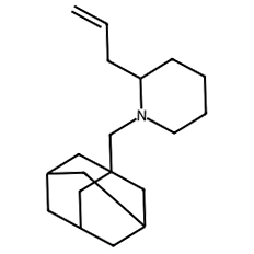 C=CCC1CCCCN1CC12CC3CC(CC(C3)C1)C2